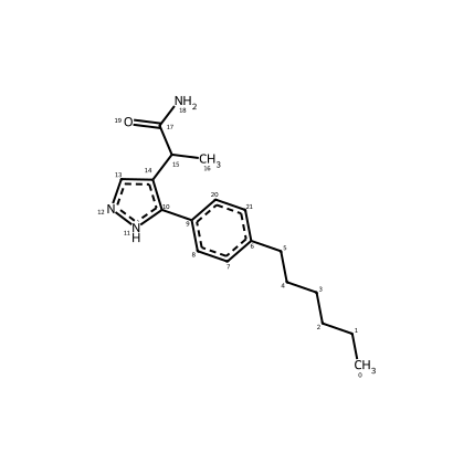 CCCCCCc1ccc(-c2[nH]ncc2C(C)C(N)=O)cc1